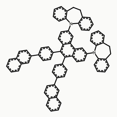 c1ccc2c(c1)CCc1ccccc1N2c1ccc2c(-c3ccc(-c4ccc5ccccc5c4)cc3)c(-c3ccc(-c4ccc5ccccc5c4)cc3)c3ccc(N4c5ccccc5CCc5ccccc54)cc3c2c1